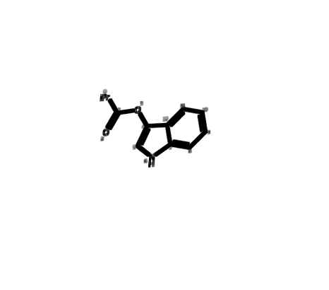 CC(C)C(=O)Oc1c[nH]c2ccccc12